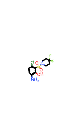 Nc1ccc(Cl)c(S(=O)(=O)N2CCC(F)(F)CC2)c1O